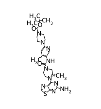 Cc1cc(N2CCN(C(=O)OC(C)(C)C)CC2)ncc1NC(=O)N1CCN(c2nc(N)nc3scnc23)[C@@H](C)C1